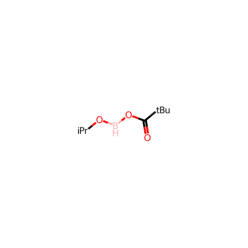 CC(C)OBOC(=O)C(C)(C)C